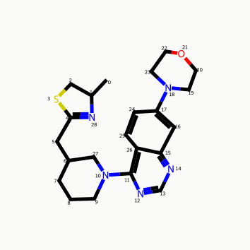 CC1CSC(CC2CCCN(c3ncnc4cc(N5CCOCC5)ccc34)C2)=N1